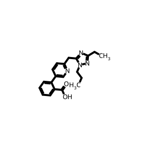 CCCn1nc(CC)nc1Cc1ccc(-c2ccccc2C(=O)O)cn1